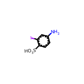 Nc1ccc(S(=O)(=O)O)c(I)c1